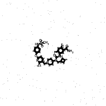 CCc1nc(Oc2ccc(NS(C)(=O)=O)cc2)ccc1CN1CCC(N(CC2CCC2)C(=O)Nc2cc(C(N)=O)c(F)cc2F)CC1